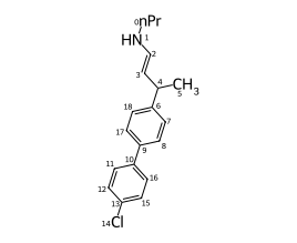 CCCNC=CC(C)c1ccc(-c2ccc(Cl)cc2)cc1